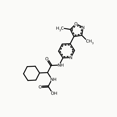 Cc1noc(C)c1-c1ccc(NC(=O)C(NC(=O)O)C2CCCCC2)nc1